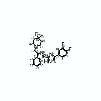 Fc1ccc(-c2c[nH]c(-c3nc(CN4CCC(F)(F)CC4)c4ccccn34)n2)cc1F